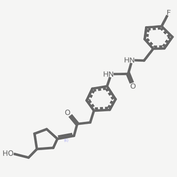 O=C(/C=C1\CCC(CO)C1)Cc1ccc(NC(=O)NCc2ccc(F)cc2)cc1